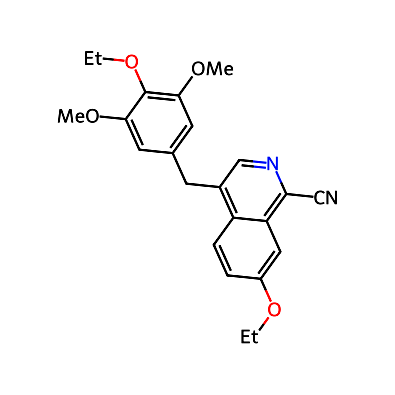 CCOc1ccc2c(Cc3cc(OC)c(OCC)c(OC)c3)cnc(C#N)c2c1